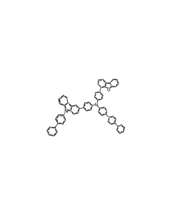 c1ccc(-c2ccc(-c3ccc(N(c4ccc(-c5ccc6c(c5)c5ccccc5n6-c5ccc(-c6ccccc6)cc5)cc4)c4ccc(-c5cccc6c5oc5ccccc56)cc4)cc3)cc2)cc1